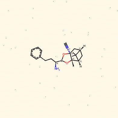 C#[N+][C@@]12C[C@@H]3C[C@@H](C3(C)C)[C@]1(C)OB([C@@H](N)CCc1ccccc1)O2